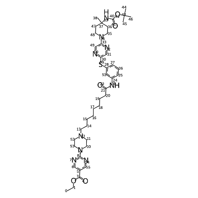 CCOC(=O)c1cnc(N2CCN(CCCCCCCCC(=O)Nc3cccc(Sc4cnc(N5CCC(C)(NC(=O)OC(C)(C)C)CC5)cn4)c3)CC2)nc1